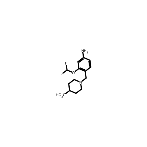 Nc1ccc(CN2CCC(C(=O)O)CC2)c(OC(F)F)c1